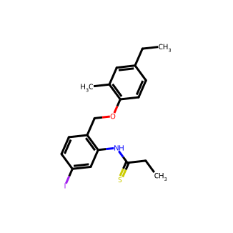 CCC(=S)Nc1cc(I)ccc1COc1ccc(CC)cc1C